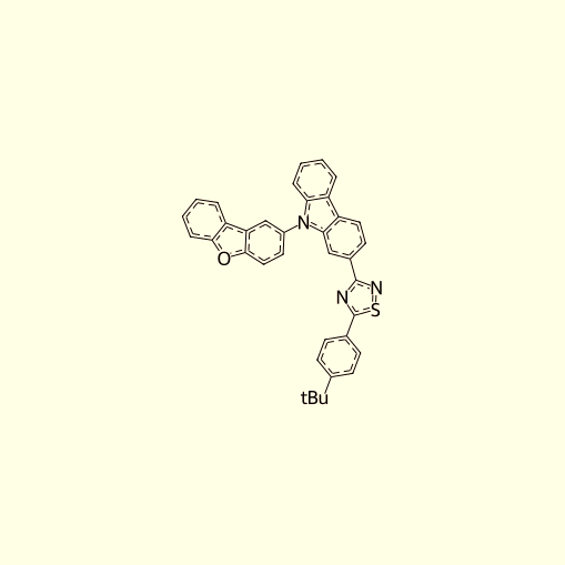 CC(C)(C)c1ccc(-c2nc(-c3ccc4c5ccccc5n(-c5ccc6oc7ccccc7c6c5)c4c3)ns2)cc1